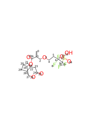 C=C(COCCC(F)(F)C(F)(F)S(=O)(=O)O)C(=O)OC1C2CC3CC(=O)OC1C3C2